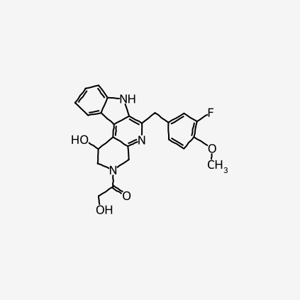 COc1ccc(Cc2nc3c(c4c2[nH]c2ccccc24)C(O)CN(C(=O)CO)C3)cc1F